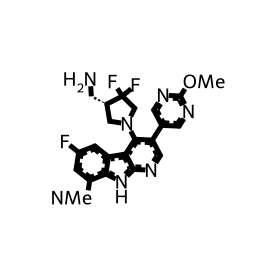 CNc1cc(F)cc2c1[nH]c1ncc(-c3cnc(OC)nc3)c(N3C[C@H](CN)C(F)(F)C3)c12